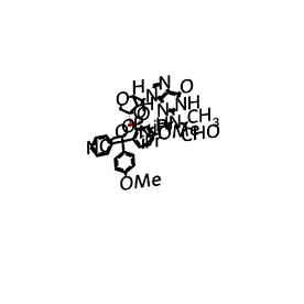 COc1ccc(C(OC[C@@]23CO[C@@H]([C@H](n4cnc5c(=O)[nH]c(NC(C)C=O)nc54)O2)[C@@H]3OP(OCCC#N)N(C(C)C)C(C)C)(c2ccccc2)c2ccc(OC)cc2)cc1